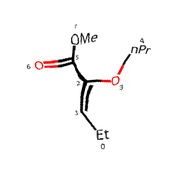 CCC=C(OCCC)C(=O)OC